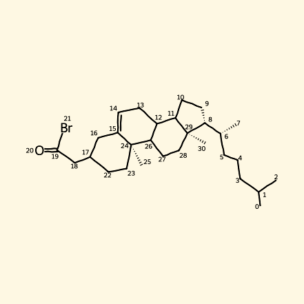 CC(C)CCC[C@@H](C)[C@H]1CCC2C3CC=C4CC(CC(=O)Br)CC[C@]4(C)C3CC[C@@]21C